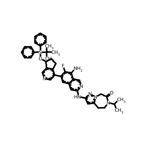 CC(C)N1CCc2cc(Nc3cc4cc(-c5cncc6c5CCC6O[Si](c5ccccc5)(c5ccccc5)C(C)(C)C)c(F)c(N)c4cn3)nn2CC1=O